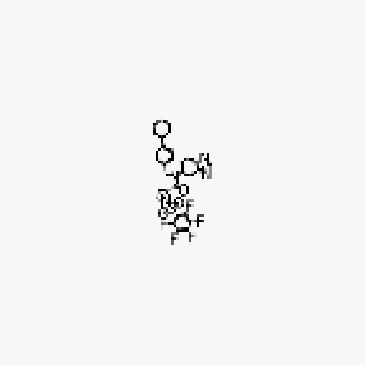 O=C([C@H]1CCN1S(=O)(=O)c1c(F)c(F)c(F)c(F)c1F)N(Cc1ccc(C2CCCCC2)cc1)C1=CC=C2N=CN=C2C1